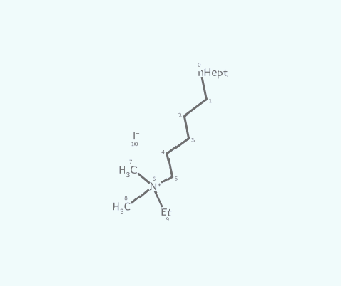 CCCCCCCCCCCC[N+](C)(C)CC.[I-]